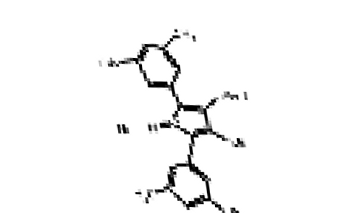 CCCCCC1=C(c2cc(C)cc(CCCC)c2)[N+](=[N-])C(c2cc(C)cc(CCCC)c2)=C1CCCC.[Ni]